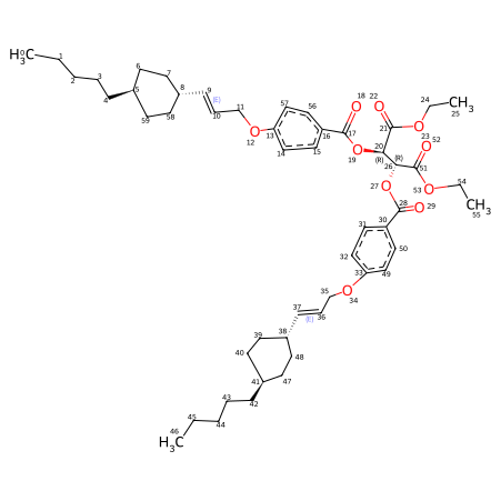 CCCCC[C@H]1CC[C@H](/C=C/COc2ccc(C(=O)O[C@@H](C(=O)OCC)[C@@H](OC(=O)c3ccc(OC/C=C/[C@H]4CC[C@H](CCCCC)CC4)cc3)C(=O)OCC)cc2)CC1